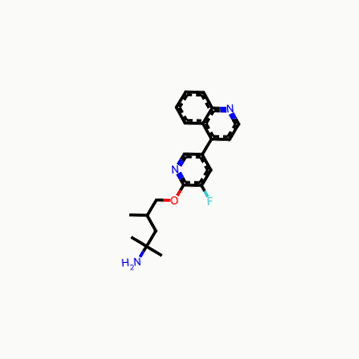 CC(COc1ncc(-c2ccnc3ccccc23)cc1F)CC(C)(C)N